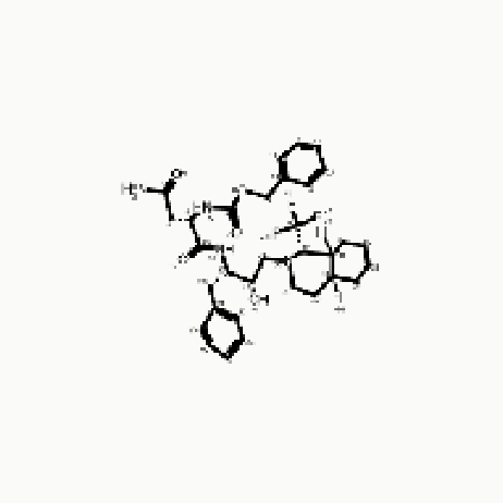 NC(=O)C[C@H](NC(=O)OCc1ccccc1)C(=O)N[C@@H](Cc1ccccc1)[C@H](O)CN1CC[C@H]2CCCC[C@H]2[C@H]1C(F)(F)F